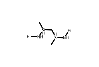 CCN[SiH](C)C[SiH](C)NCC